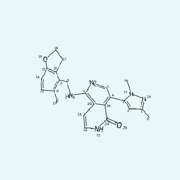 Cc1cc(-c2cnc(NCc3c(F)ccc4c3CCO4)c3cc[nH]c(=O)c23)n(C)n1